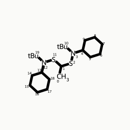 CC(SN(C1CCCCC1)C(C)(C)C)SN(C1CCCCC1)C(C)(C)C